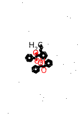 C=CCc1ccccc1C(=O)C(O)c1ccccc1.O=C(C(=O)c1ccccc1)c1ccccc1